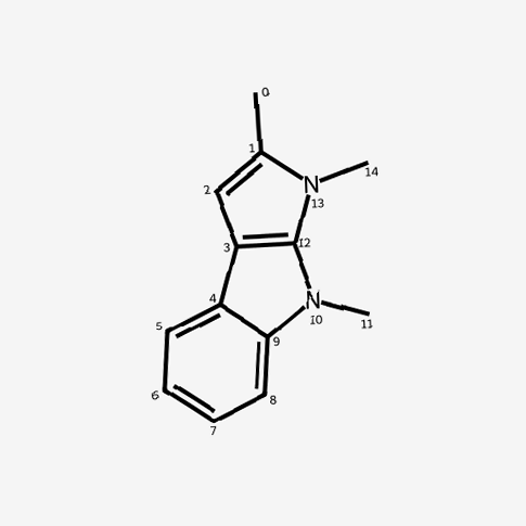 Cc1cc2c3ccccc3n(C)c2n1C